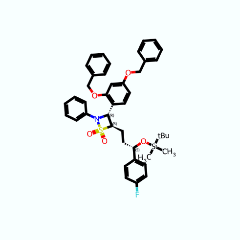 CC(C)(C)[Si](C)(C)O[C@@H](CC[C@@H]1[C@@H](c2ccc(OCc3ccccc3)cc2OCc2ccccc2)N(c2ccccc2)S1(=O)=O)c1ccc(F)cc1